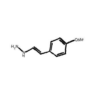 COc1ccc(C=CNN)cc1